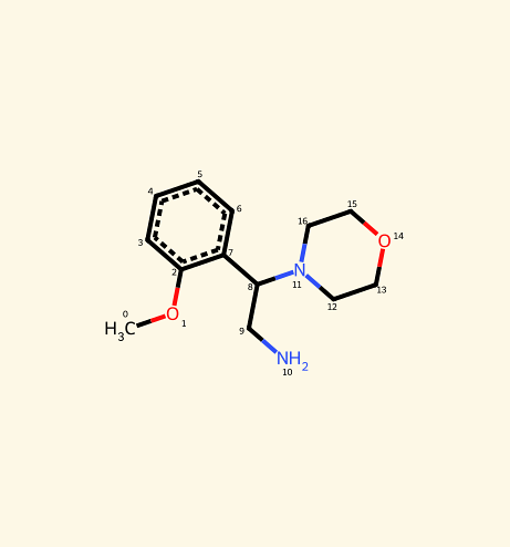 COc1ccccc1C(CN)N1CCOCC1